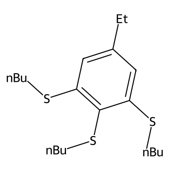 CCCCSc1cc(CC)cc(SCCCC)c1SCCCC